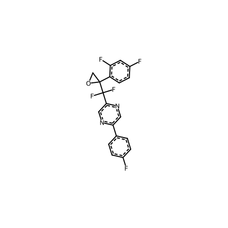 Fc1ccc(-c2cnc(C(F)(F)C3(c4ccc(F)cc4F)CO3)cn2)cc1